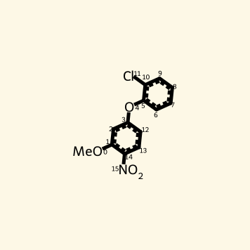 COc1cc(Oc2ccccc2Cl)ccc1[N+](=O)[O-]